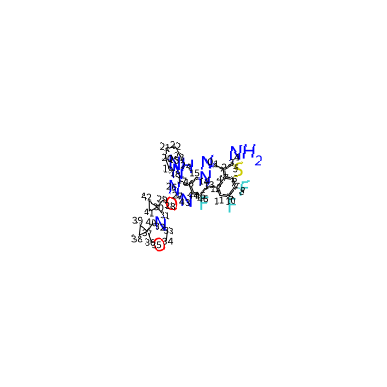 N#Cc1c(N)sc2c(F)c(F)cc(-c3ncc4c(N5CC6CCC(C5)N6)nc(OCC5(CN6CCOCC7(CC7)C6)CC5)nc4c3F)c12